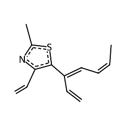 C=C/C(=C\C=C/C)c1sc(C)nc1C=C